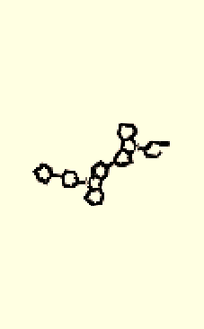 C#C/C=C(\C=C/C)n1c2ccccc2c2cc(-c3ccc4c(c3)c3ccccc3n4-c3ccc(-c4ccccc4)cc3)ccc21